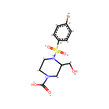 O=C(O)N1CCN(S(=O)(=O)c2ccc(Br)cc2)C(CO)C1